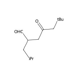 CC(C)CC(C=O)CC(=O)CC(C)(C)C